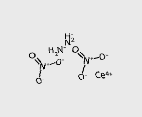 O=[N+]([O-])[O-].O=[N+]([O-])[O-].[Ce+4].[NH2-].[NH2-]